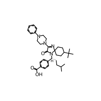 CC(C)CC[C@H](c1ccc(C(=O)O)cc1)N1C(=O)C(N2CCN(c3ccccc3)CC2)=NC12CCC(C(C)(C)C)CC2